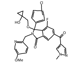 COc1ccc(CN2C(=O)c3cc(C(=O)c4cnn(C)c4)cc(F)c3C2(OCC2(O)CC2)c2ccc(Cl)cc2)nc1